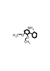 CCOc1cccc(-c2ccccc2)c1OCC.[SiH4]